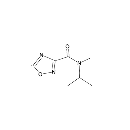 CC(C)N(C)C(=O)c1n[c]on1